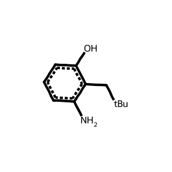 CC(C)(C)Cc1c(N)cccc1O